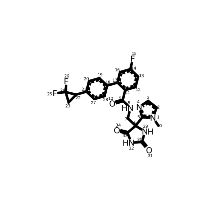 Cn1ccnc1C1(CNC(=O)c2ccc(F)cc2-c2ccc(C3CC3(F)F)cc2)NC(=O)NC1=O